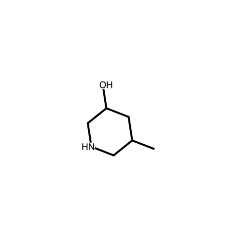 CC1CNCC(O)C1